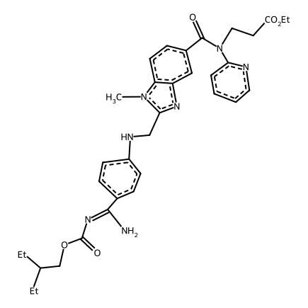 CCOC(=O)CCN(C(=O)c1ccc2c(c1)nc(CNc1ccc(/C(N)=N/C(=O)OCC(CC)CC)cc1)n2C)c1ccccn1